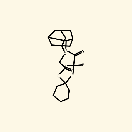 CC1(OC(=O)COC23CC4CC(C2)C(OC(=O)C(C)(F)F)C(C4)C3)CCCCC1